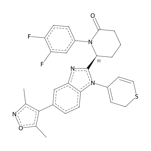 Cc1noc(C)c1-c1ccc2c(c1)nc([C@@H]1CCCC(=O)N1c1ccc(F)c(F)c1)n2C1=CCSC=C1